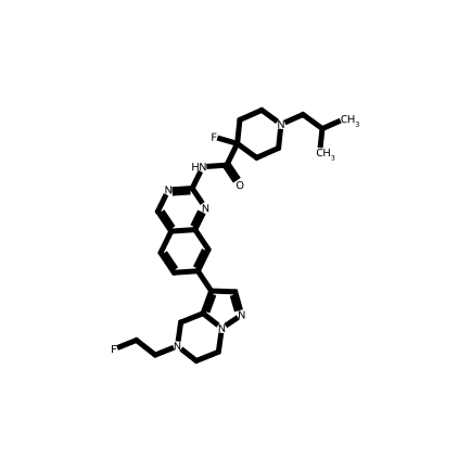 CC(C)CN1CCC(F)(C(=O)Nc2ncc3ccc(-c4cnn5c4CN(CCF)CC5)cc3n2)CC1